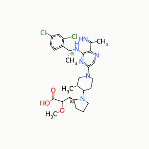 COC(C[C@@H]1CCCN1C1CCN(c2cnc(C(C)=N)c(N[C@H](C)c3ccc(Cl)cc3Cl)n2)CC1C)C(=O)O